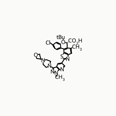 Cc1cc2nc(-c3cnc4c(c3)c(N3CCN(C5COC5)CC3)nn4C)sc2c(-c2ccc(Cl)cc2)c1[C@H](OC(C)(C)C)C(=O)O